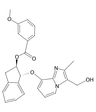 COc1cccc(C(=O)O[C@@H]2Cc3ccccc3[C@H]2Oc2cccn3c(CO)c(C)nc23)c1